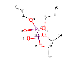 CCCOP(=O)(OCCC)P(=O)(OCC)OCC